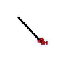 CCCCCCCCCCCCCCCCCCCCCCCCCCOC(=O)CO